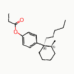 CCCCC[C@@]1(c2ccc(OC(=O)CC)cc2)CCCC[C@@H]1C